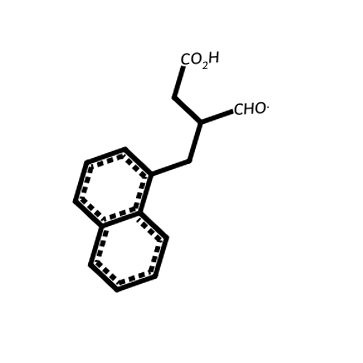 O=[C]C(CC(=O)O)Cc1cccc2ccccc12